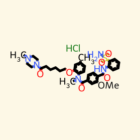 COc1cc(C(=O)N(C)c2ccc(C)cc2OCCCCCC(=O)N2CCN(C)CC2)ccc1C(=O)Nc1ccccc1S(N)(=O)=O.Cl